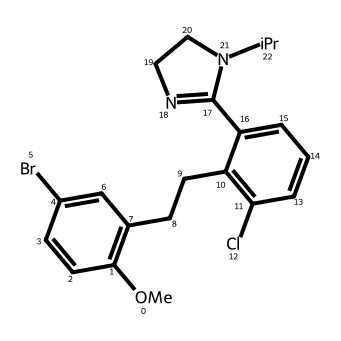 COc1ccc(Br)cc1CCc1c(Cl)cccc1C1=NCCN1C(C)C